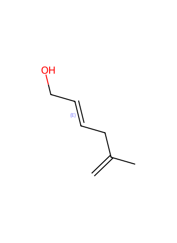 C=C(C)C/C=C/CO